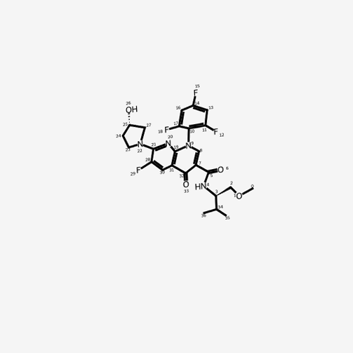 COC[C@H](NC(=O)c1cn(-c2c(F)cc(F)cc2F)c2nc(N3CC[C@H](O)C3)c(F)cc2c1=O)C(C)C